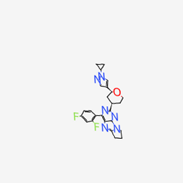 Fc1ccc(-c2nc([C@@H]3CCO[C@H](c4cnn(C5CC5)c4)C3)nc3c2nc2n3CCC2)c(F)c1